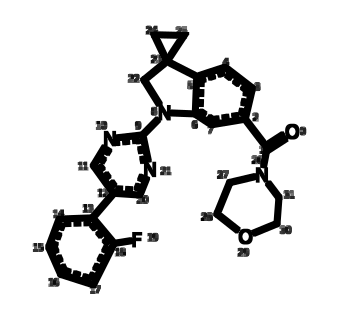 O=C(c1ccc2c(c1)N(c1ncc(-c3ccccc3F)cn1)CC21CC1)N1CCOCC1